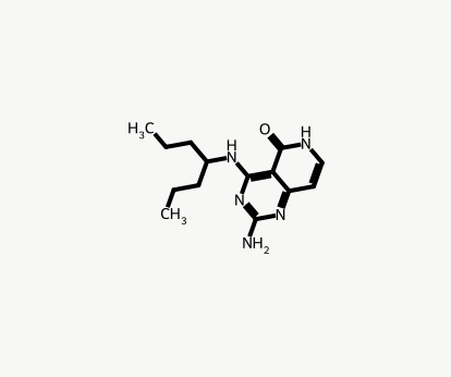 CCCC(CCC)Nc1nc(N)nc2cc[nH]c(=O)c12